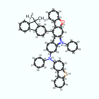 CC1(C)c2ccccc2-c2ccc(-c3c4c(cc5c3c3ccc(N(c6ccccc6)c6ccc7sc8ccccc8c7c6)cc3n5-c3ccccc3)oc3ccccc34)cc21